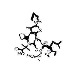 C=C/C(OC)=C(\C=C(C)C)[C@H](Cn1c(=O)n(C(C)(C)C(=O)O)c(=O)c2c(C)c(-n3cccn3)sc21)OC[C@H](C)O